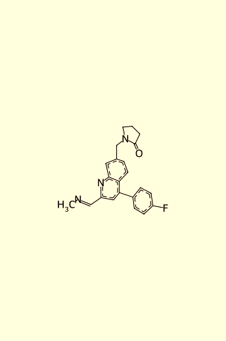 C/N=C/c1cc(-c2ccc(F)cc2)c2ccc(CN3CCCC3=O)cc2n1